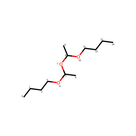 CCCCOC(C)OC(C)OCCCC